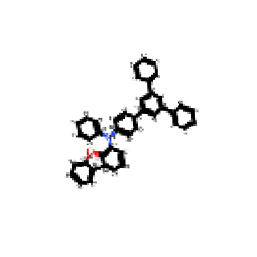 c1ccc(-c2cc(-c3ccccc3)cc(-c3ccc(N(c4ccccc4)c4cccc5c4oc4ccccc45)cc3)c2)cc1